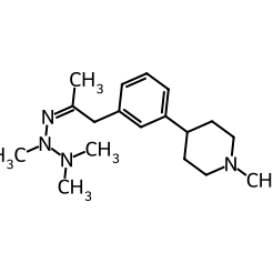 C/C(Cc1cccc(C2CCN(C)CC2)c1)=N/N(C)N(C)C